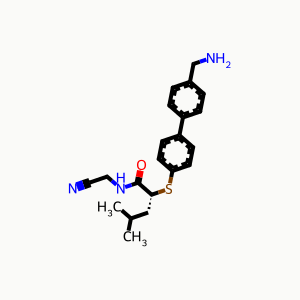 CC(C)C[C@@H](Sc1ccc(-c2ccc(CN)cc2)cc1)C(=O)NCC#N